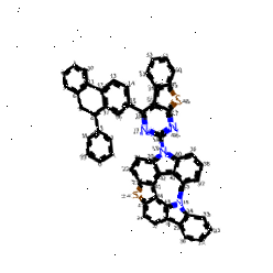 c1ccc(C2Cc3ccccc3-c3ccc(-c4nc(-n5c6ccc7sc8ccc9c%10ccccc%10n%10c%11cccc5c%11c6c7c8c9%10)nc5sc6ccccc6c45)cc32)cc1